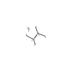 CN(C)N(C)C.[Ti]